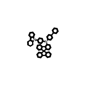 C1=Cc2c(n(-c3ccc(N(c4ccc(-c5ccccc5)cc4)c4cccc5c4-c4ccccc4C54c5ccccc5-c5ccccc54)cc3)c3ccccc23)CC1